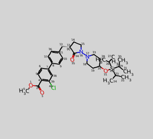 COC(=O)c1ccc(-c2ccc(C[C@@H]3CCN(N4CCC(O[Si](C(C)C)(C(C)C)C(C)C)CC4)C3=O)cc2)cc1Cl